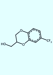 OCC1COc2ccc(C(F)(F)F)cc2O1